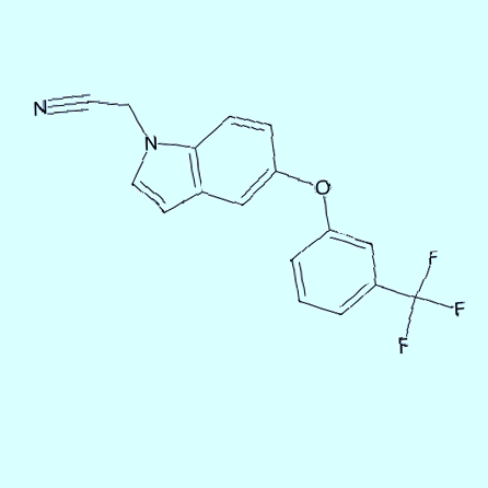 N#CCn1ccc2cc(Oc3cccc(C(F)(F)F)c3)ccc21